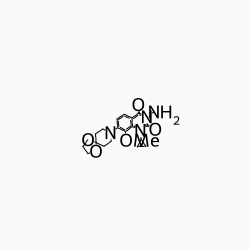 COc1c(N2CCC3(CC2)OCCO3)ccc2c(=O)n(N)c(=O)n(C3CC3)c12